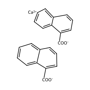 O=C([O-])c1cccc2ccccc12.O=C([O-])c1cccc2ccccc12.[Ca+2]